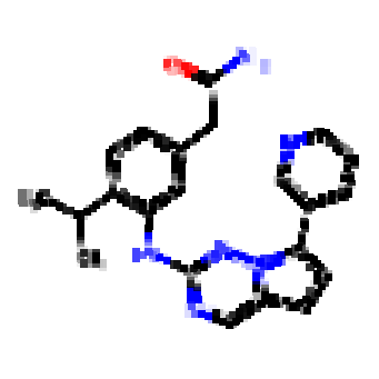 CC(C)c1ccc(CC(N)=O)cc1Nc1ncc2ccc(-c3cccnc3)n2n1